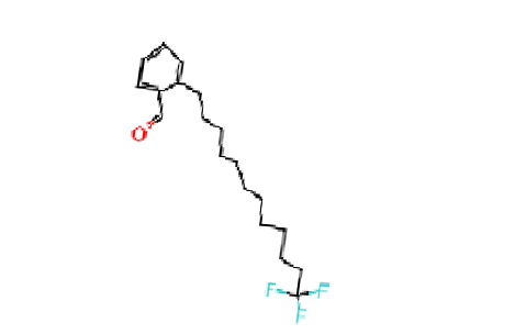 O=Cc1ccccc1CCCCCCCCCCCC(F)(F)F